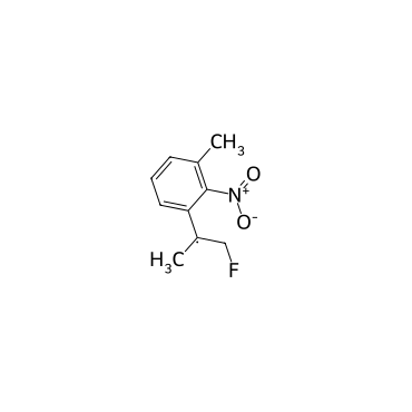 C[C](CF)c1cccc(C)c1[N+](=O)[O-]